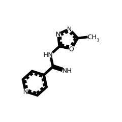 Cc1nnc(NC(=N)c2ccncc2)o1